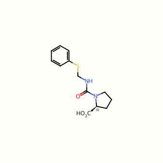 O=C(O)[C@@H]1CCCN1C(=O)NCSc1ccccc1